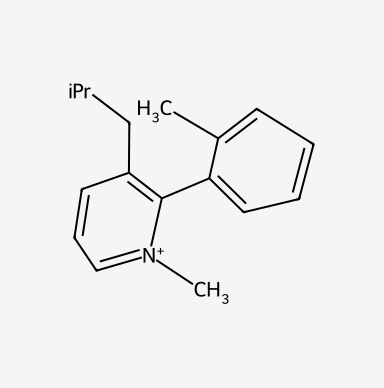 Cc1ccccc1-c1c(CC(C)C)ccc[n+]1C